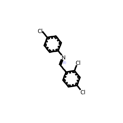 Clc1ccc(/N=C/c2ccc(Cl)cc2Cl)cc1